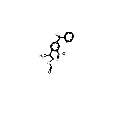 CC(CO[C]=O)c1ccc(C(=O)c2ccccc2)cc1[N+](=O)[O-]